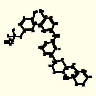 CC(C)(Cc1ccc(F)c(-c2nc(Nc3cncc(N4CCCC(OC5=C(O)CCC=N5)C4)n3)ccc2F)c1)C(=O)O